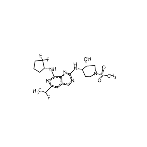 CC(F)c1cc2cnc(N[C@H]3CCN(S(C)(=O)=O)C[C@H]3O)nc2c(N[C@@H]2CCCC2(F)F)n1